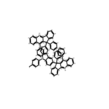 Cc1ccc(-n2c3ccc(C4(c5ccccc5)c5ccccc5-c5nc6ccccc6c(-c6ccccc6)c54)cc3c3cc(C4(c5ccccc5)c5ccccc5-c5nc6ccccc6c(-c6ccccc6)c54)ccc32)cc1